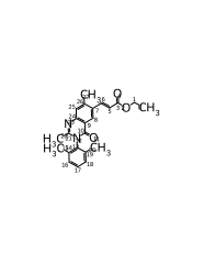 CCOC(=O)C=Cc1cc2c(=O)n(-c3c(C)cccc3C)c(C)nc2cc1C